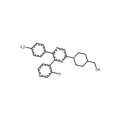 OCC1CCN(c2cnc(-c3ccc(C(F)(F)F)cc3)c(-c3ccncc3Cl)n2)CC1